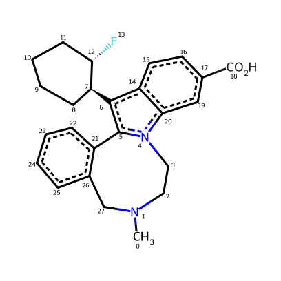 CN1CCn2c(c([C@H]3CCCC[C@@H]3F)c3ccc(C(=O)O)cc32)-c2ccccc2C1